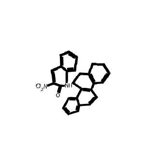 C1=CC2=C(CC1)CCc1c2ccc2ccccc12.O=c1[nH]c2ccccc2cc1[N+](=O)[O-]